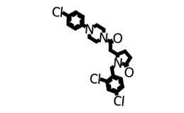 O=C(CC1CCC(=O)N1Cc1ccc(Cl)cc1Cl)N1CCN(c2ccc(Cl)cc2)CC1